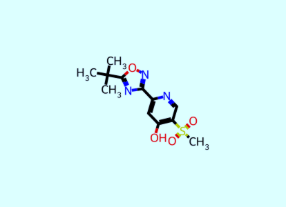 CC(C)(C)c1nc(-c2cc(O)c(S(C)(=O)=O)cn2)no1